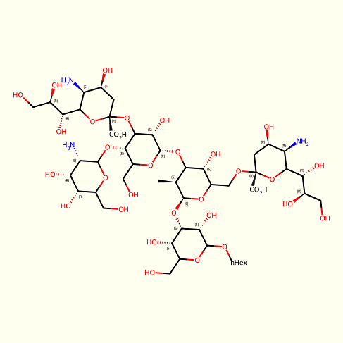 CCCCCCOC1OC(CO)[C@H](O)[C@H](O[C@@H]2OC(CO[C@]3(C(=O)O)C[C@@H](O)[C@@H](N)C([C@H](O)[C@H](O)CO)O3)[C@@H](O)C(O[C@@H]3OC(CO)[C@H](OC4OC(CO)[C@H](O)[C@H](O)[C@@H]4N)C(O[C@@]4(C(=O)O)C[C@H](O)[C@H](N)C([C@H](O)[C@H](O)CO)O4)[C@@H]3O)[C@@H]2C)[C@@H]1O